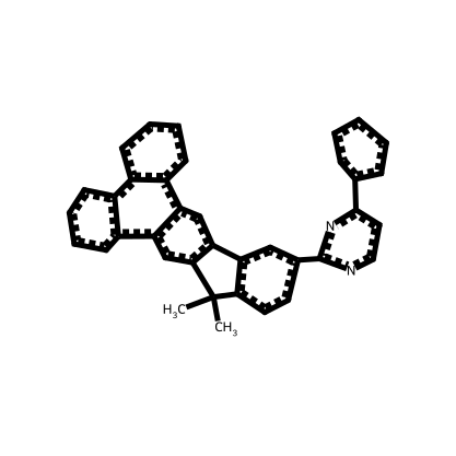 CC1(C)c2ccc(-c3nccc(-c4ccccc4)n3)cc2-c2cc3c4ccccc4c4ccccc4c3cc21